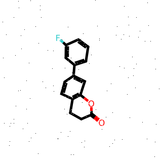 O=C1CCc2ccc(-c3cccc(F)c3)cc2O1